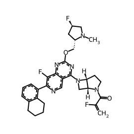 C=C(F)C(=O)N1CC[C@@H]2[C@H]1CN2c1nc(OC[C@@H]2C[C@@H](F)CN2C)nc2c(F)c(-c3cccc4c3CCCC4)ncc12